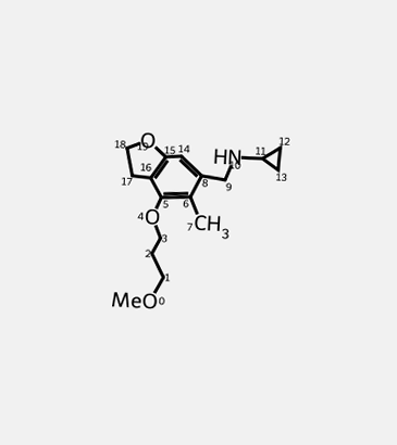 COCCCOc1c(C)c(CNC2CC2)cc2c1CCO2